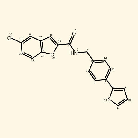 O=C(NCc1ccc(-c2cccs2)cc1)c1cc2cc(Cl)ccc2o1